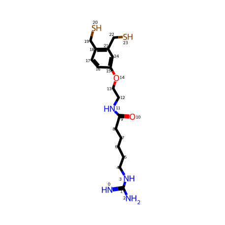 N=C(N)NCCCCCC(=O)NCCOc1ccc(CS)c(CS)c1